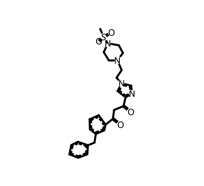 CS(=O)(=O)N1CCN(CCn2cnc(C(=O)CC(=O)c3cccc(Cc4ccccc4)c3)c2)CC1